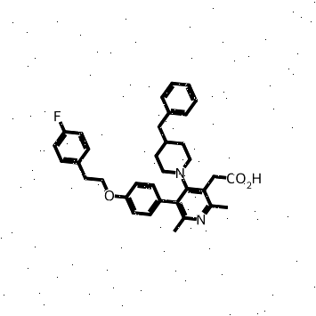 Cc1nc(C)c(-c2ccc(OCCc3ccc(F)cc3)cc2)c(N2CCC(Cc3ccccc3)CC2)c1CC(=O)O